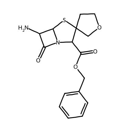 NC1C(=O)N2C1SC1(CCOC1)C2C(=O)OCc1ccccc1